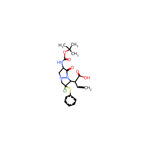 C=CC(C(=O)O)C1N2C(=O)C(NC(=O)OC(C)(C)C)CN2CC1(Cl)Sc1ccccc1